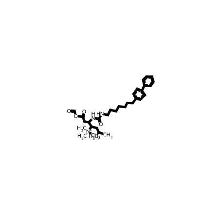 CC(C)CC(C(CC(=O)OC=O)NC(=O)NCCCCCCCc1ccc(-c2ccccc2)cc1)[N+](C)(C)C